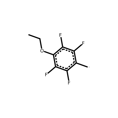 [CH2]c1c(F)c(F)c(OCC)c(F)c1F